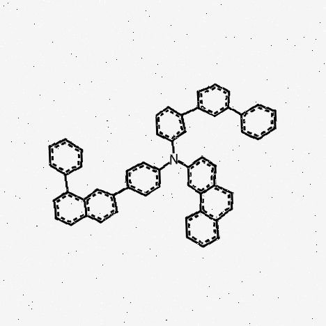 c1ccc(-c2cccc(-c3cccc(N(c4ccc(-c5ccc6cccc(-c7ccccc7)c6c5)cc4)c4ccc5ccc6ccccc6c5c4)c3)c2)cc1